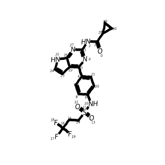 O=C(Nc1nc(-c2ccc(NS(=O)(=O)CCC(F)(F)F)cc2)c2cc[nH]c2n1)C1CC1